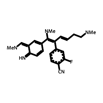 CN/C=C1C=C(/C(NC)=C(/C=C/CCNC)c2ccc(C#N)c(F)c2)C=CC/1=N